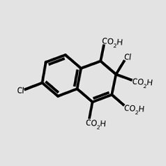 O=C(O)C1=C(C(=O)O)C(Cl)(C(=O)O)C(C(=O)O)c2ccc(Cl)cc21